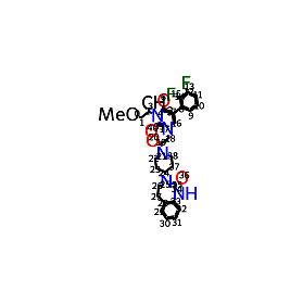 COC[C@H](C)n1c(=O)c(-c2cccc(F)c2F)cn(CC(=O)N2CCC(N3CCc4ccccc4NC3=O)CC2)c1=O